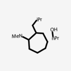 CCCO.CNC1CCCCCC1CC(C)C